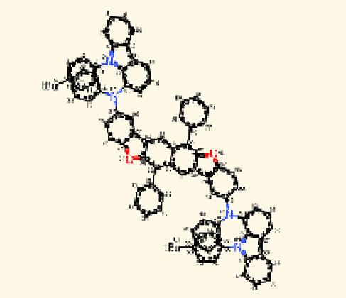 CC(C)(C)c1ccc(-n2c3ccccc3c3cccc(N(c4ccccc4)c4ccc5oc6c(-c7ccccc7)c7cc8c(oc9ccc(N(c%10ccccc%10)c%10cccc%11c%12ccccc%12n(-c%12ccc(C(C)(C)C)cc%12)c%10%11)cc98)c(-c8ccccc8)c7cc6c5c4)c32)cc1